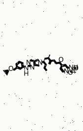 C=C(CCC(=O)c1ccnc(NS(C)(=O)=O)c1)[C@H](C)C[C@@H](CCC)N1Cc2cnc(Nc3cccc(COC4CC4)c3)nc2C1